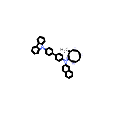 C=C1/C=C\C=C/C/C=C\C(N(c2ccc(-c3ccc(-n4c5ccccc5c5ccccc54)cc3)cc2)c2ccc3ccccc3c2)=C/1